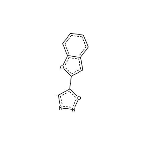 [c]1nnoc1-c1cc2ccccc2o1